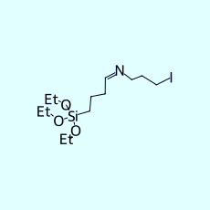 CCO[Si](CCC/C=N\CCCI)(OCC)OCC